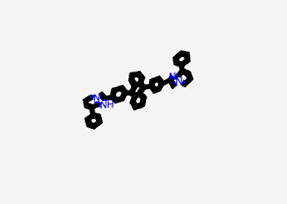 C1=CN2C=C(c3ccc(-c4c5ccccc5c(-c5ccc(-c6cn7cccc(-c8ccccc8)c7n6)cc5)c5ccccc45)cc3)NC2C(c2ccccc2)=C1